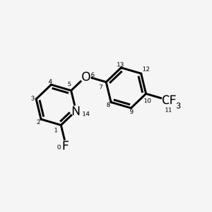 Fc1cccc(Oc2ccc(C(F)(F)F)cc2)n1